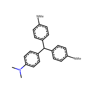 CNc1ccc(C(c2ccc(NC)cc2)c2ccc(N(C)C)cc2)cc1